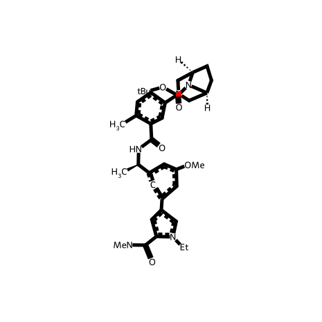 CCn1cc(-c2cc(OC)cc([C@@H](C)NC(=O)c3cc(N4C[C@H]5CC[C@@H](C4)N5C(=O)OC(C)(C)C)ccc3C)c2)cc1C(=O)NC